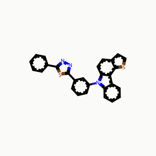 c1ccc(-c2nnc(-c3cccc(-n4c5ccccc5c5c6sccc6ccc54)c3)s2)cc1